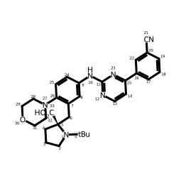 CC(C)(C)N1CCC[C@@]1(Cc1cc(Nc2nccc(-c3cccc(C#N)c3)n2)ccc1N1CCOCC1)C(=O)O